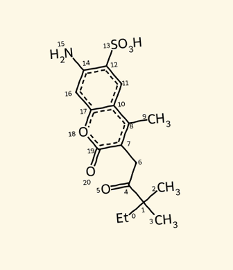 CCC(C)(C)C(=O)Cc1c(C)c2cc(S(=O)(=O)O)c(N)cc2oc1=O